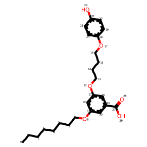 CCCCCCCCOc1cc(OCCCCOc2ccc(O)cc2)cc(C(=O)O)c1